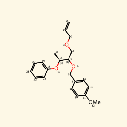 C=CCOC[C@@H](OCc1ccc(OC)cc1)[C@H](C)Oc1ccccc1